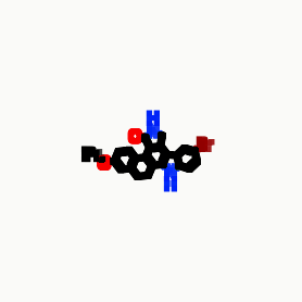 CC(C)Oc1ccc2c(c1)CCc1c3c(c4c(c1-2)C(=O)NC4)C1C=C(Br)C=CC1N3